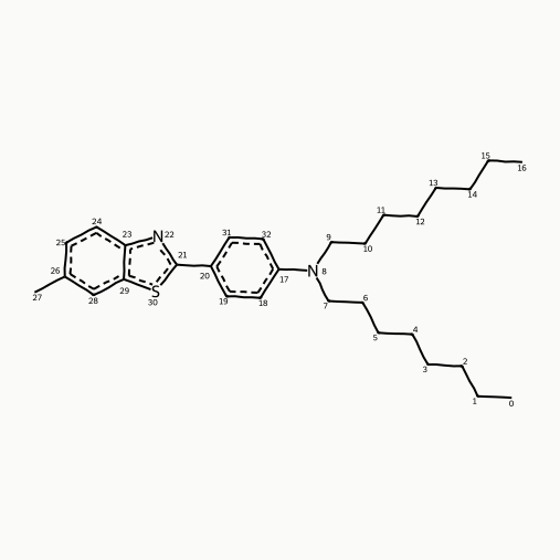 CCCCCCCCN(CCCCCCCC)c1ccc(-c2nc3ccc(C)cc3s2)cc1